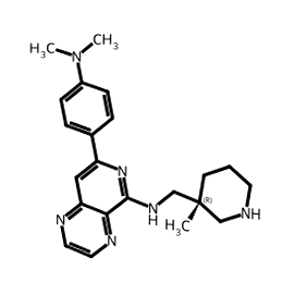 CN(C)c1ccc(-c2cc3nccnc3c(NC[C@]3(C)CCCNC3)n2)cc1